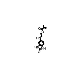 C=C(C)C(=O)OCCNc1ccc2[nH]c(=O)[nH]c2c1